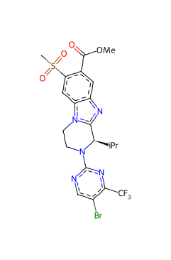 COC(=O)c1cc2nc3n(c2cc1S(C)(=O)=O)CCN(c1ncc(Br)c(C(F)(F)F)n1)[C@@H]3C(C)C